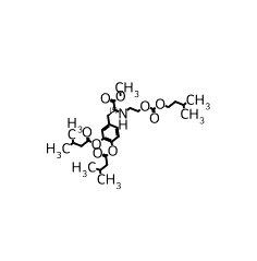 COC(=O)[C@H](Cc1ccc(OC(=O)CC(C)C)c(OC(=O)CC(C)C)c1)NCCOC(=O)OCCC(C)C